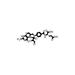 Nc1nc(=O)c2nc(CN(c3ccc(C(=O)N[C@@H](CCC(=O)O)C(=O)O)cc3)C(Cl)(Cl)C(=O)CCl)cnc2[nH]1